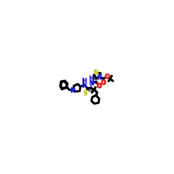 CC(C)(C)OC(=O)N1CSC[C@H]1C(=O)N[C@@H](C(=S)NC1CCN(Cc2ccccc2)CC1)C(C)(C)CC1CCCCC1